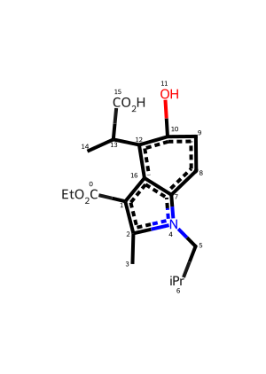 CCOC(=O)c1c(C)n(CC(C)C)c2ccc(O)c(C(C)C(=O)O)c12